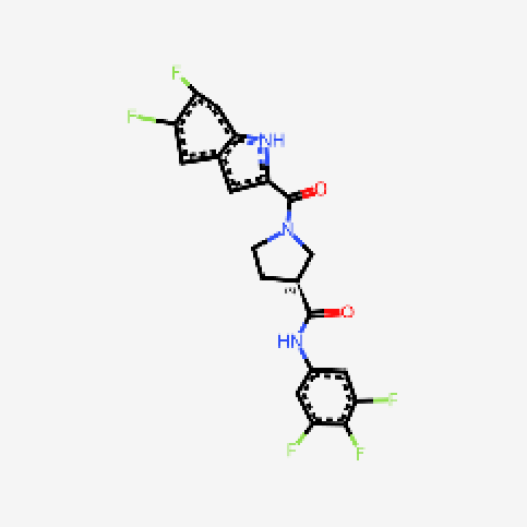 O=C(Nc1cc(F)c(F)c(F)c1)[C@H]1CCN(C(=O)c2cc3cc(F)c(F)cc3[nH]2)C1